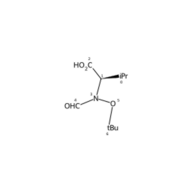 CC(C)[C@H](C(=O)O)N(C=O)OC(C)(C)C